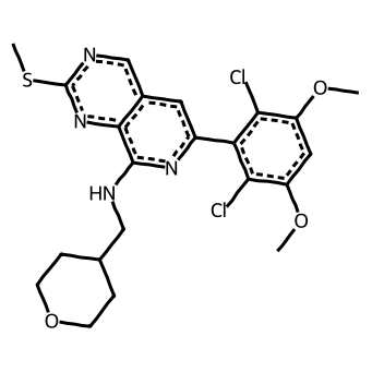 COc1cc(OC)c(Cl)c(-c2cc3cnc(SC)nc3c(NCC3CCOCC3)n2)c1Cl